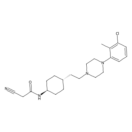 Cc1c(Cl)cccc1N1CCN(CC[C@H]2CC[C@H](NC(=O)CC#N)CC2)CC1